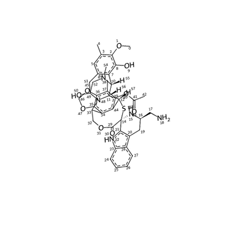 COc1c(C)cc2c(c1O)[C@@H]1[C@@H]3[C@@H]4S[C@]5(N[C@@H](CN)Cc6c5[nH]c5ccccc65)C(=O)OCC(c5c6c(c(C)c(OC(C)=O)c54)OCO6)N3C(O)(C2)CN1C